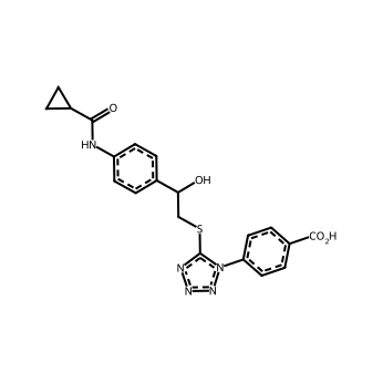 O=C(O)c1ccc(-n2nnnc2SCC(O)c2ccc(NC(=O)C3CC3)cc2)cc1